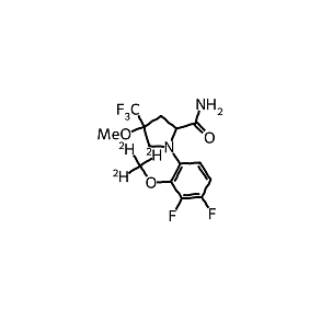 [2H]C([2H])([2H])Oc1c(N2CC(OC)(C(F)(F)F)CC2C(N)=O)ccc(F)c1F